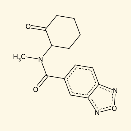 CN(C(=O)c1ccc2nonc2c1)C1CCCCC1=O